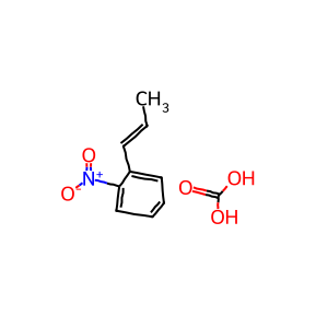 CC=Cc1ccccc1[N+](=O)[O-].O=C(O)O